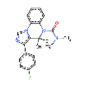 CN(C)C(=O)N1c2ccccc2-n2cnc(-c3ccc(F)cc3)c2C1(C)C